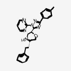 Cc1ccc(-c2nc([C@@H]3CN[C@@H](CCc4ccccc4)CO3)n(-c3ncccn3)n2)cc1